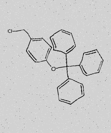 ClCc1ccc(OC(c2ccccc2)(c2ccccc2)c2ccccc2)cc1